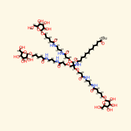 CC(C)(C)C(=O)CCCCCCCCCCC(=O)NC(COCCC(=O)NCCCNC(=O)CCCCO[C@H]1OC(CO)[C@@H](O)C(O)C1O)(COCCC(=O)NCCCNC(=O)CCCCO[C@H]1OC(CO)[C@@H](O)C(O)C1O)COCCC(=O)NCCCNC(=O)CCCCO[C@H]1OC(CO)[C@@H](O)C(O)C1O